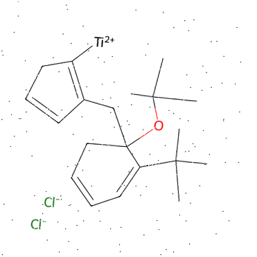 CC(C)(C)OC1(CC2=[C]([Ti+2])CC=C2)CC=CC=C1C(C)(C)C.[Cl-].[Cl-]